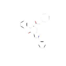 CCc1ccc(-c2cc3n(n2)CC(C)(C(=O)NC2CCCCCC2)N(c2cccc(F)c2)C3=O)cc1